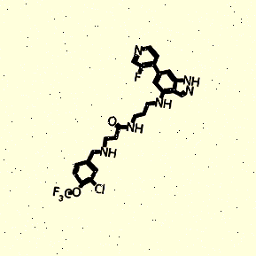 O=C(CCNCc1ccc(OC(F)(F)F)c(Cl)c1)NCCCNc1cc(-c2ccncc2F)cc2[nH]ncc12